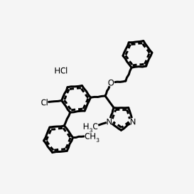 Cc1ccccc1-c1cc(C(OCc2ccccc2)c2cncn2C)ccc1Cl.Cl